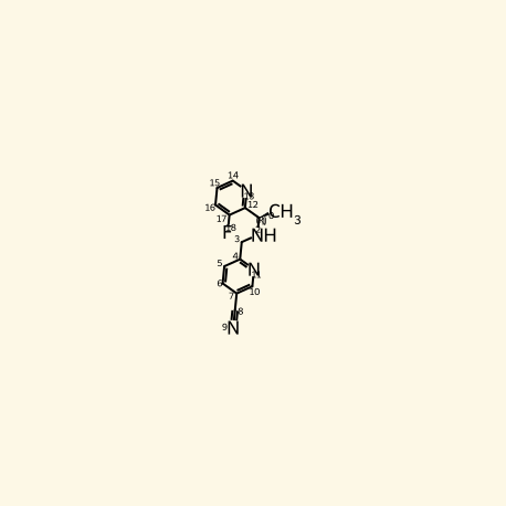 C[C@@H](NCc1ccc(C#N)cn1)c1ncccc1F